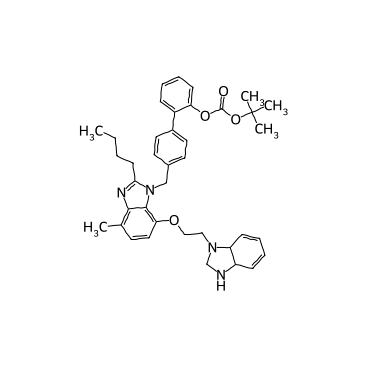 CCCCc1nc2c(C)ccc(OCCN3CNC4C=CC=CC43)c2n1Cc1ccc(-c2ccccc2OC(=O)OC(C)(C)C)cc1